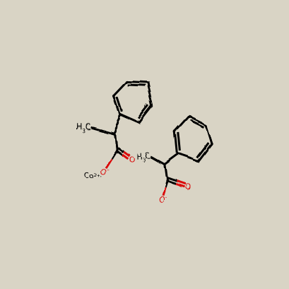 CC(C(=O)[O-])c1ccccc1.CC(C(=O)[O-])c1ccccc1.[Co+2]